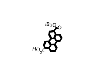 CC(C)COC(=O)c1ccc2c3ccc(C(=O)O)c4cccc(c5cccc1c52)c43